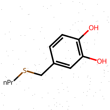 CCCSCc1ccc(O)c(O)c1